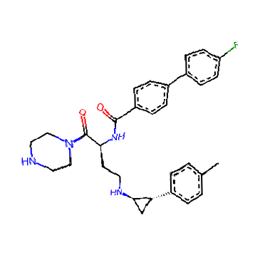 Cc1ccc([C@@H]2C[C@H]2NCC[C@H](NC(=O)c2ccc(-c3ccc(F)cc3)cc2)C(=O)N2CCNCC2)cc1